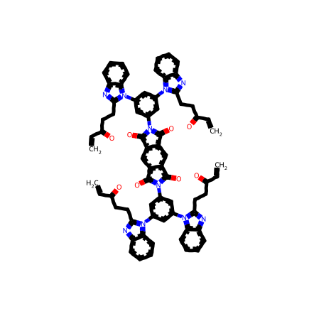 C=CC(=O)CCc1nc2ccccc2n1-c1cc(-n2c(=O)c3cc4c(=O)n(-c5cc(-n6c(CCC(=O)C=C)nc7ccccc76)cc(-n6c(CCC(=O)C=C)nc7ccccc76)c5)c(=O)c4cc3c2=O)cc(-n2c(CCC(=O)C=C)nc3ccccc32)c1